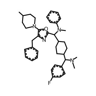 CC1CCN(c2oc(C(C3CCC(C(c4ccc(F)cc4)N(C)C)CC3)N(C)c3ccccc3)nc2Cc2ccccc2)CC1